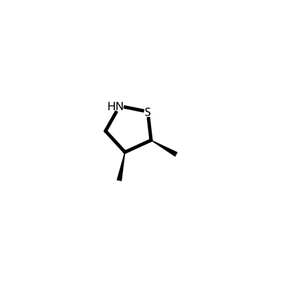 C[C@@H]1SNC[C@@H]1C